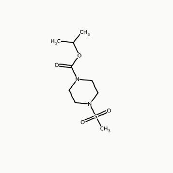 CC(C)OC(=O)N1CCN(S(C)(=O)=O)CC1